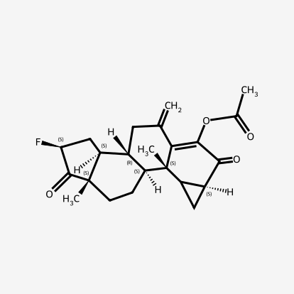 C=C1C[C@H]2[C@@H]3C[C@H](F)C(=O)[C@@]3(C)CC[C@@H]2[C@]2(C)C1=C(OC(C)=O)C(=O)[C@H]1CC12